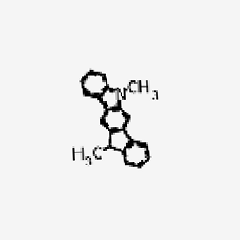 CC1c2ccccc2-c2cc3c(cc21)c1ccccc1n3C